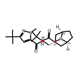 Cn1nc(C(C)(C)C)cc1C(=O)NC[C@@H]1C[C@H]2CC[C@@H](C1)N2CC(=O)NC(C)(C)C